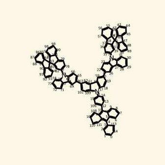 c1ccc(-c2c3ccccc3c(-c3ccc(-n4c5ccc(-c6ccc7c(c6)c6ccccc6n7-c6ccc7c(c6)C6(c8ccccc8-c8ccccc86)c6ccccc6-7)cc5c5cc(-c6ccc7c(c6)c6ccccc6n7-c6ccc7c(c6)C6(c8ccccc8-c8ccccc86)c6ccccc6-7)ccc54)cc3)c3ccccc23)cc1